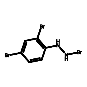 BrNNc1ccc(Br)cc1Br